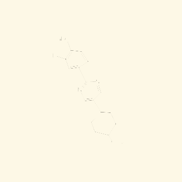 CCCCCC1CCC(c2cnc(-c3ccc(CCCC)c(F)c3)nc2)CC1